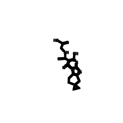 O=C(O)CNC(=O)c1c(O)nc2sc3c(n2c1=O)CCC1(CC1)C3